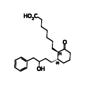 O=C(O)CCCCCC[C@H]1C(=O)CCC[C@@H]1CCC(O)Cc1ccccc1